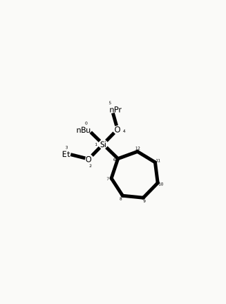 CCCC[Si](OCC)(OCCC)C1CCCCCC1